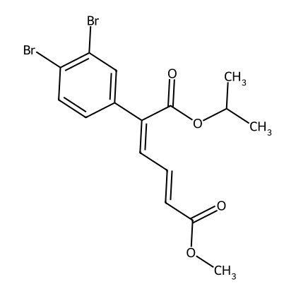 COC(=O)C=CC=C(C(=O)OC(C)C)c1ccc(Br)c(Br)c1